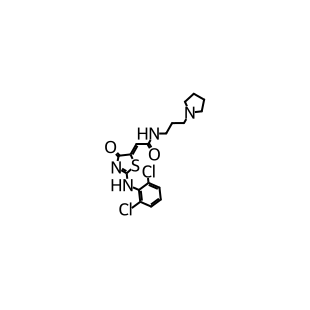 O=C(C=C1SC(Nc2c(Cl)cccc2Cl)=NC1=O)NCCCN1CCCC1